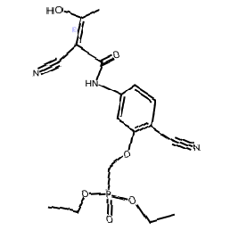 CCOP(=O)(COc1cc(NC(=O)/C(C#N)=C(\C)O)ccc1C#N)OCC